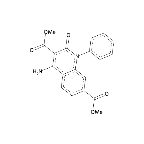 COC(=O)c1ccc2c(N)c(C(=O)OC)c(=O)n(-c3ccccc3)c2c1